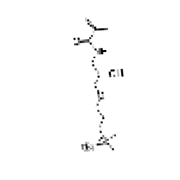 C=C(C)C(=O)NCC(O)COCCC[Si](C)(C)C(C)(C)C